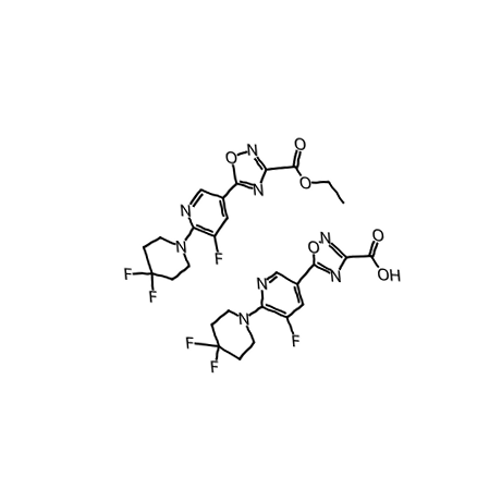 CCOC(=O)c1noc(-c2cnc(N3CCC(F)(F)CC3)c(F)c2)n1.O=C(O)c1noc(-c2cnc(N3CCC(F)(F)CC3)c(F)c2)n1